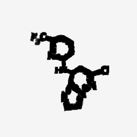 FC(F)(F)c1cccc(Nc2cc(Cl)nn3ccnc23)n1